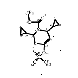 CC(C)(C)OC(=O)N1C(C2CC2)C=C(OS(=O)(=O)C(F)(F)F)CC1C1CC1